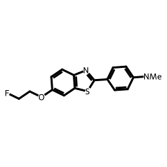 CNc1ccc(-c2nc3ccc(OCCF)cc3s2)cc1